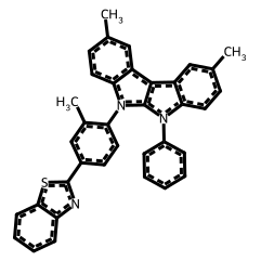 Cc1ccc2c(c1)c1c3cc(C)ccc3n(-c3ccc(-c4nc5ccccc5s4)cc3C)c1n2-c1ccccc1